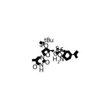 C=C(C)[C@H]1CC[C@@]2(N)OP(=S)(OC[C@H]3O[C@@H](n4cc(C)c(=O)[nH]c4=O)CC3O[Si](C)(C)C(C)(C)C)SC2C1